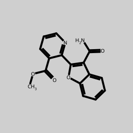 COC(=O)c1cccnc1-c1oc2ccccc2c1C(N)=O